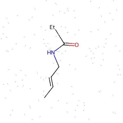 CC=CCNC(=O)CC